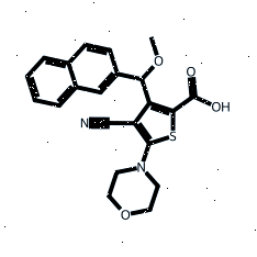 COC(c1ccc2ccccc2c1)c1c(C(=O)O)sc(N2CCOCC2)c1C#N